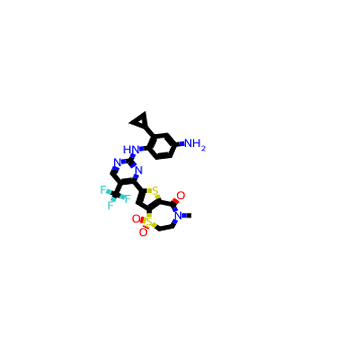 CN1CCS(=O)(=O)c2cc(-c3nc(Nc4ccc(N)cc4C4CC4)ncc3C(F)(F)F)sc2C1=O